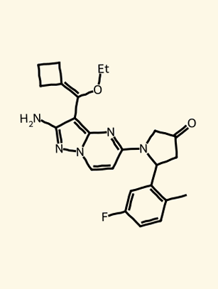 CCOC(=C1CCC1)c1c(N)nn2ccc(N3CC(=O)CC3c3cc(F)ccc3C)nc12